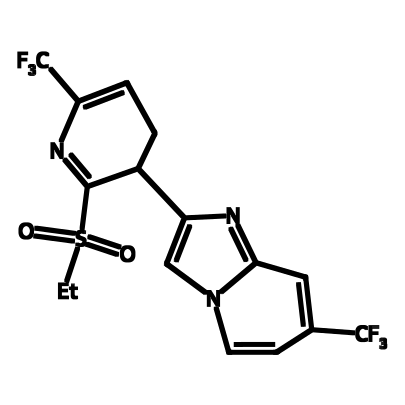 CCS(=O)(=O)C1=NC(C(F)(F)F)=CCC1c1cn2ccc(C(F)(F)F)cc2n1